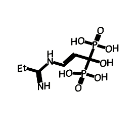 CCC(=N)NC=CC(O)(P(=O)(O)O)P(=O)(O)O